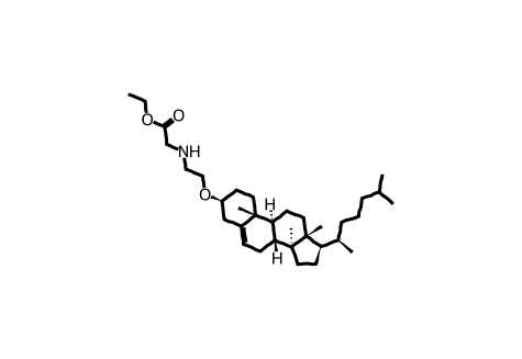 CCOC(=O)CNCCO[C@H]1CC[C@@]2(C)C(=CC[C@@H]3[C@@H]2CC[C@]2(C)[C@@H]([C@H](C)CCCC(C)C)CC[C@@]32C)C1